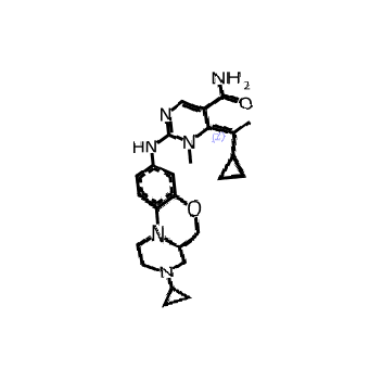 C/C(=C1\C(C(N)=O)=CN=C(Nc2ccc3c(c2)OCC2CN(C4CC4)CCN32)N1C)C1CC1